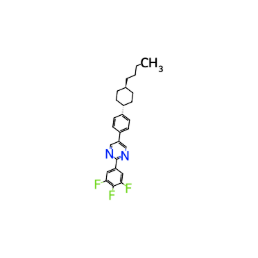 CCCC[C@H]1CC[C@H](c2ccc(-c3cnc(-c4cc(F)c(F)c(F)c4)nc3)cc2)CC1